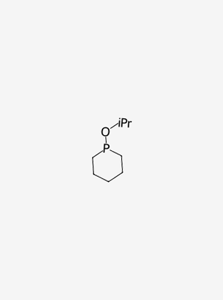 CC(C)OP1CCCCC1